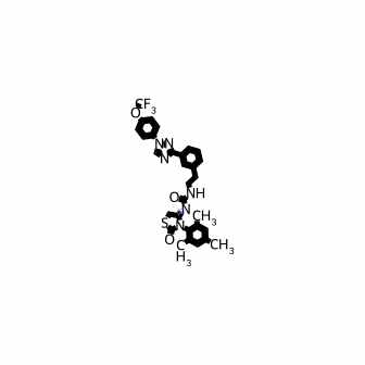 Cc1cc(C)c(N2C(=O)SC/C2=N\C(=O)NCCc2cccc(-c3ncn(-c4ccc(OC(F)(F)F)cc4)n3)c2)c(C)c1